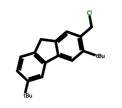 CC(C)(C)c1ccc2c(c1)-c1cc(C(C)(C)C)c(CCl)cc1C2